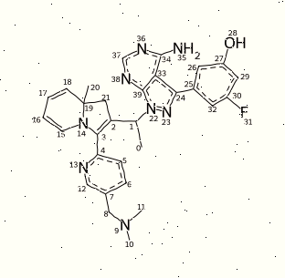 CC(C1=C(c2ccc(CN(C)C)cn2)N2C=CC=CC2(C)C1)n1nc(-c2cc(O)cc(F)c2)c2c(N)ncnc21